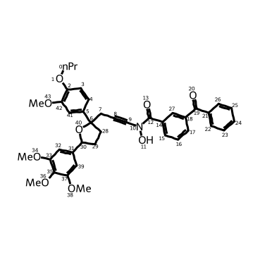 CCCOc1ccc(C2(CC#CN(O)C(=O)c3cccc(C(=O)c4ccccc4)c3)CCC(c3cc(OC)c(OC)c(OC)c3)O2)cc1OC